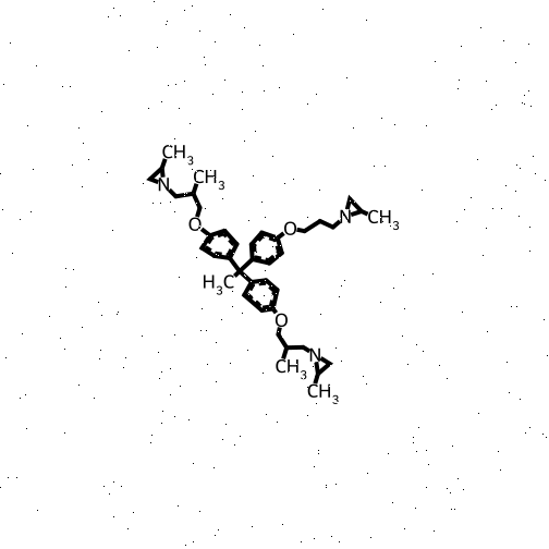 CC(COc1ccc(C(C)(c2ccc(OCCCN3CC3C)cc2)c2ccc(OCC(C)CN3CC3C)cc2)cc1)CN1CC1C